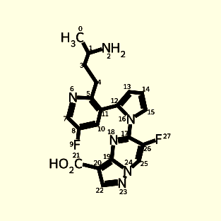 CC(N)CCc1ncc(F)cc1-c1cccn1-c1nc2c(C(=O)O)cnn2cc1F